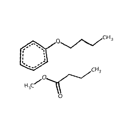 CCCC(=O)OC.CCCCOc1ccccc1